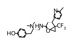 Cc1ccc([C@@H](CC(=O)NC[C@H](Cc2ccc(O)cc2)N(C)C)C2(C(F)(F)F)CC2)cn1